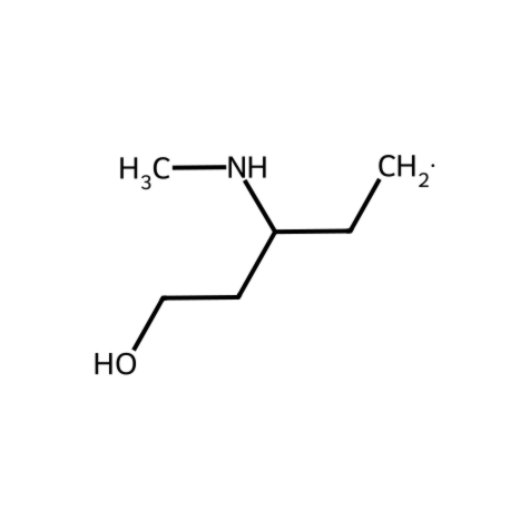 [CH2]CC(CCO)NC